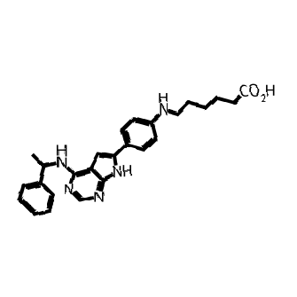 CC(Nc1ncnc2[nH]c(-c3ccc(NCCCCCC(=O)O)cc3)cc12)c1ccccc1